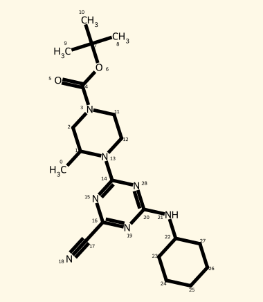 CC1CN(C(=O)OC(C)(C)C)CCN1c1nc(C#N)nc(NC2CCCCC2)n1